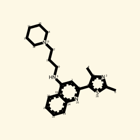 Cc1nc(C)c(-c2cc(NCCCN3CCCCC3)c3ccccc3n2)s1